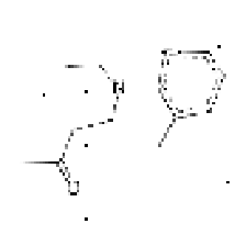 CCN(CCC(C)=O)c1ccccc1C